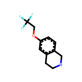 FC(F)(F)COc1ccc2c(c1)CC[N]C2